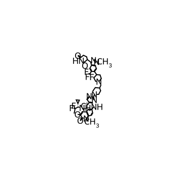 Cn1nc(C2CCC(=O)NC2=O)c2cc(C(F)(F)F)c(C3CCN(CC4CCN(c5ncc(Cl)c(Nc6ccc7c(c6)c6c(c(=O)n7C)OCC(F)(F)[C@H](C7CC7)N6)n5)CC4)CC3)cc21